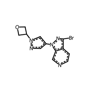 Brc1nn(-c2cnn(C3COC3)c2)c2cnccc12